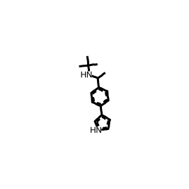 CC(NC(C)(C)C)c1ccc(-c2cc[nH]c2)cc1